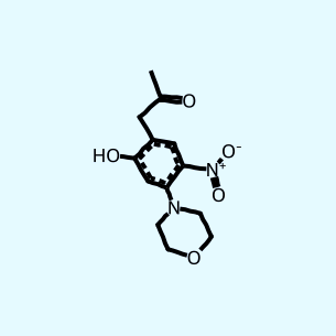 CC(=O)Cc1cc([N+](=O)[O-])c(N2CCOCC2)cc1O